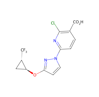 O=C(O)c1ccc(-n2ccc(O[C@H]3C[C@@H]3C(F)(F)F)n2)nc1Cl